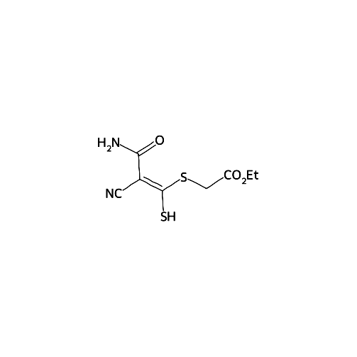 CCOC(=O)CSC(S)=C(C#N)C(N)=O